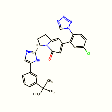 CC(C)(C(=O)O)c1cccc(-c2cnc([C@@H]3CCc4cc(-c5cc(Cl)ccc5-n5cnnn5)cc(=O)n43)[nH]2)c1